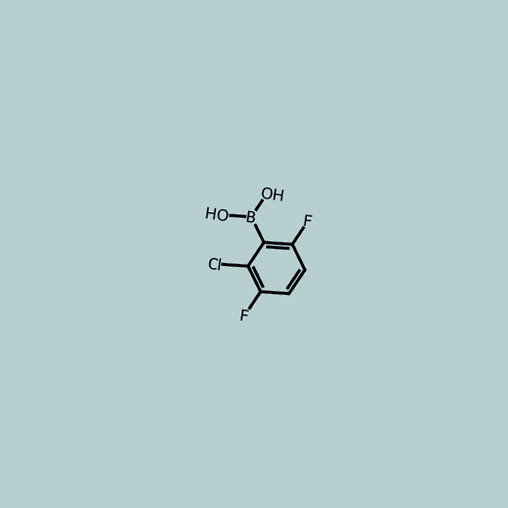 OB(O)c1c(F)ccc(F)c1Cl